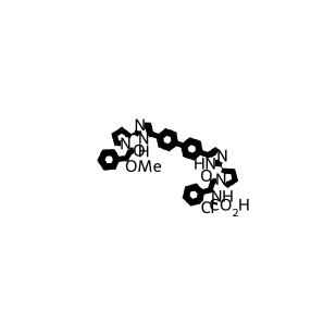 CO[C@@H](C(=O)N1CCC[C@H]1c1ncc(-c2ccc(-c3ccc(-c4cnc([C@@H]5CCCN5C(=O)[C@H](NC(=O)O)c5ccccc5Cl)[nH]4)cc3)cc2)[nH]1)c1ccccc1